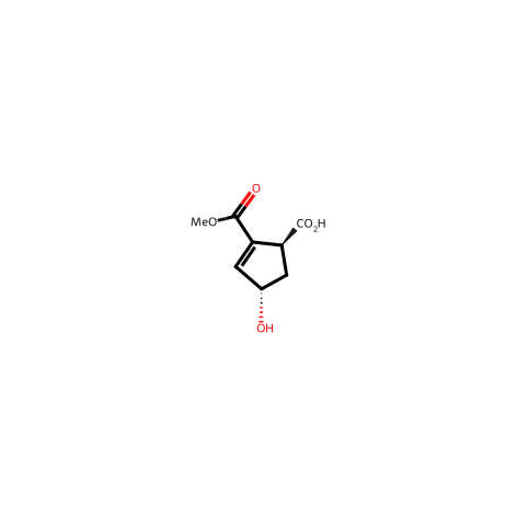 COC(=O)C1=C[C@@H](O)C[C@@H]1C(=O)O